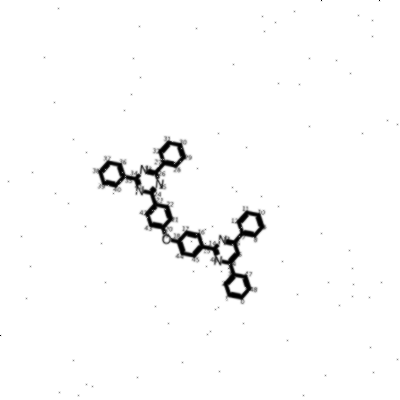 c1ccc(-c2cc(-c3ccccc3)nc(-c3ccc(Oc4ccc(-c5nc(-c6ccccc6)nc(-c6ccccc6)n5)cc4)cc3)n2)cc1